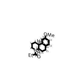 CCC(=O)N1CCC[C@H]2c3cc(OC)ccc3CC[C@@H]21